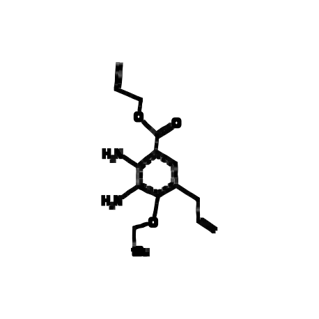 C=CCOC(=O)c1cc(CC=C)c(OCC(C)(C)C)c(N)c1N